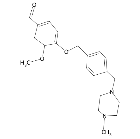 COC1CC(C=O)=CC=C1OCc1ccc(CN2CCN(C)CC2)cc1